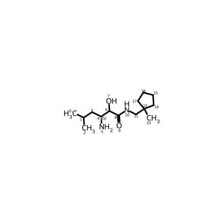 CC(C)C[C@H](N)C(O)C(=O)NCC1(C)CCCC1